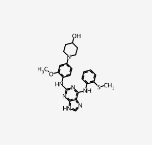 COc1cc(N2CCC(O)CC2)ccc1Nc1nc(Nc2ccccc2SC)c2nc[nH]c2n1